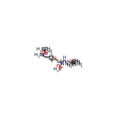 COC(=O)c1nc(NCCCO[Si](C)(C)C(C)(C)C)sc1CCCOc1ccc(C#CCN(C)C(=O)OC(C)(C)C)cc1F